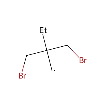 [CH2]C(CC)(CBr)CBr